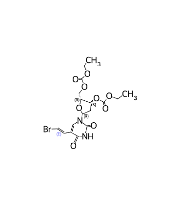 CCOC(=O)OC[C@H]1O[C@@H](n2cc(/C=C/Br)c(=O)[nH]c2=O)C[C@@H]1OC(=O)OCC